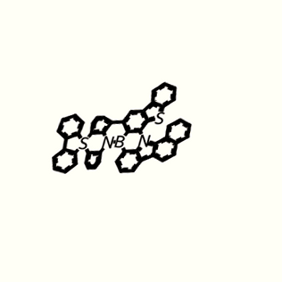 c1ccc2c(c1)-c1ccccc1S21c2ccccc2N2B3c4c(cc5c(sc6ccccc65)c4-n4c5c3cccc5c3ccc5ccccc5c34)-c3cccc1c32